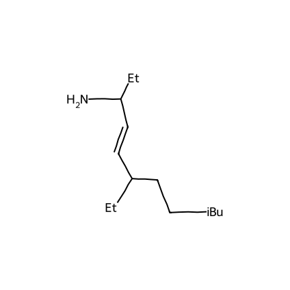 CCC(N)/C=C/C(CC)CCC(C)CC